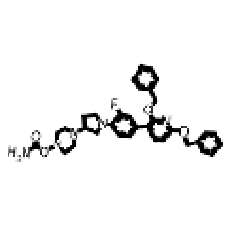 NC(=O)ON1CCN(C2CCN(c3ccc(-c4ccc(OCc5ccccc5)nc4OCc4ccccc4)cc3F)C2)CC1